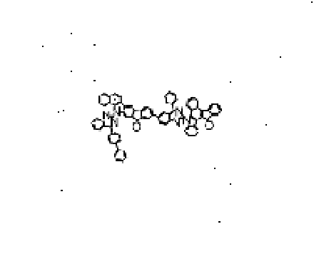 O=C1c2cc(-c3ccc4nc(-n5c6ccccc6c6c7c(c8ccccc8c65)-c5ccccc5C7=O)nc(-c5ccccc5)c4c3)ccc2-c2cc3c4ccc5ccccc5c4n(-c4nc(-c5ccc(-c6ccccc6)cc5)c5ccccc5n4)c3cc21